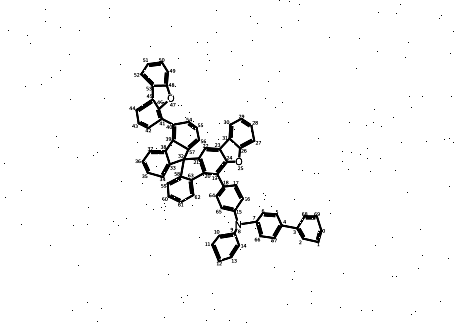 c1ccc(-c2ccc(N(c3ccccc3)c3ccc(-c4c5c(cc6c4oc4ccccc46)C4(c6ccccc6-c6c(-c7cccc8c7oc7ccccc78)cccc64)c4ccccc4-5)cc3)cc2)cc1